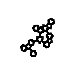 c1ccc(-c2nc(-c3ccc4c5ccccc5n(-c5ccccc5)c4c3)nc(-c3cccc4sc5ccc(-c6nc(-c7ccccc7)nc7c6sc6ccccc67)cc5c34)n2)cc1